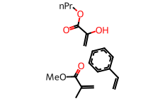 C=C(C)C(=O)OC.C=C(O)C(=O)OCCC.C=Cc1ccccc1